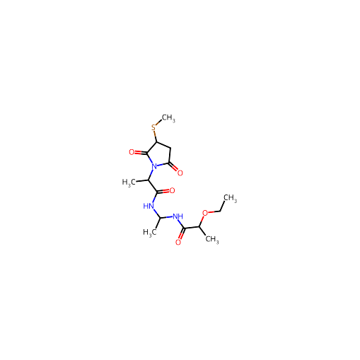 CCOC(C)C(=O)NC(C)NC(=O)C(C)N1C(=O)CC(SC)C1=O